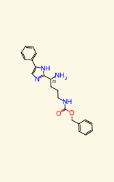 N[C@@H](CCCNC(=O)OCc1ccccc1)c1ncc(-c2ccccc2)[nH]1